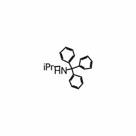 CC(C)CNC(c1ccccc1)(c1ccccc1)c1ccccc1